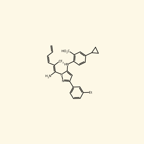 C=C/C=C\C(=C(/N)n1nc(-c2cccc(CC)c2)cc1Nc1ccc(C2CC2)cc1C(=O)O)C(F)(F)F